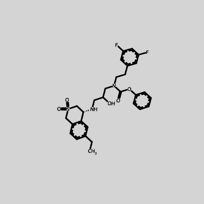 CCc1ccc2c(c1)[C@@H](NCC(O)CN(CCc1cc(F)cc(F)c1)C(=O)Oc1ccccc1)CS(=O)(=O)C2